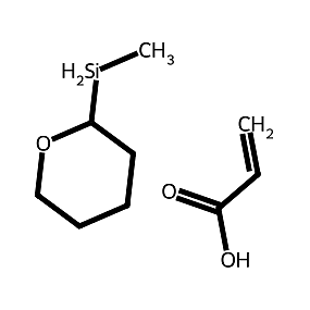 C=CC(=O)O.C[SiH2]C1CCCCO1